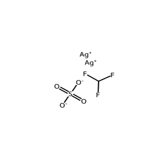 FC(F)F.O=S(=O)([O-])[O-].[Ag+].[Ag+]